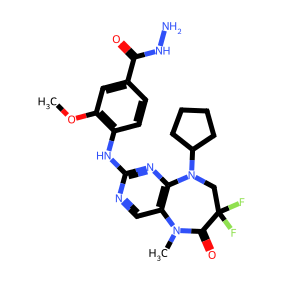 COc1cc(C(=O)NN)ccc1Nc1ncc2c(n1)N(C1CCCC1)CC(F)(F)C(=O)N2C